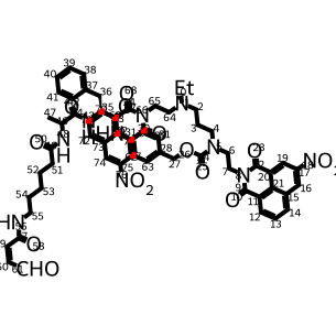 CCN(CCCN(CCN1C(=O)c2cccc3cc([N+](=O)[O-])cc(c23)C1=O)C(=O)OCc1ccc(NC(=O)[C@H](Cc2ccccc2)NC(=O)C(C)NC(=O)CCCCCNC(=O)/C=C\C=O)cc1)CCN1C(=O)c2cccc3cc([N+](=O)[O-])cc(c23)C1=O